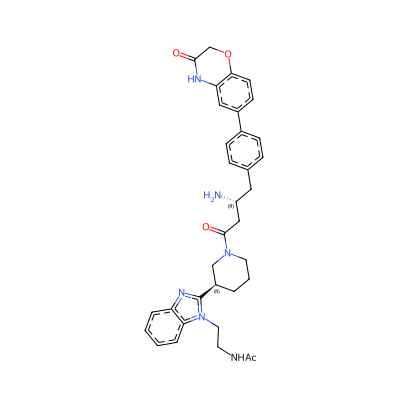 CC(=O)NCCn1c([C@@H]2CCCN(C(=O)C[C@H](N)Cc3ccc(-c4ccc5c(c4)NC(=O)CO5)cc3)C2)nc2ccccc21